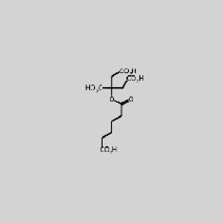 O=C(O)CCCCC(=O)OC(CC(=O)O)(CC(=O)O)C(=O)O